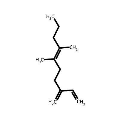 C=CC(=C)CC/C(C)=C(\C)CCC